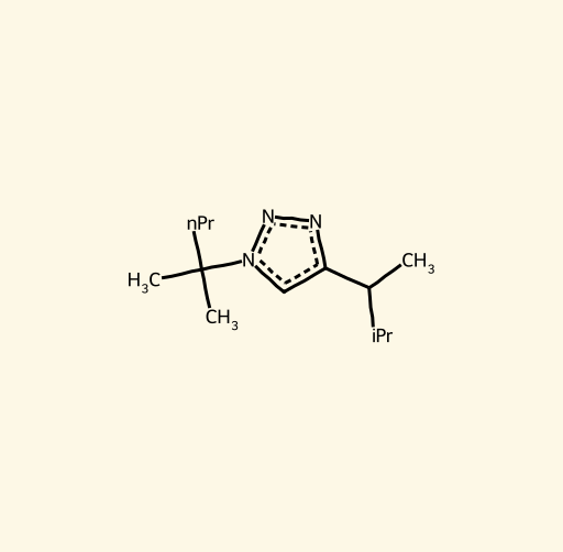 CCCC(C)(C)n1cc(C(C)C(C)C)nn1